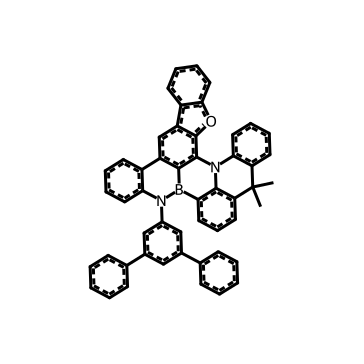 CC1(C)c2ccccc2N2c3c(cccc31)B1c3c(cc4c(oc5ccccc54)c32)-c2ccccc2N1c1cc(-c2ccccc2)cc(-c2ccccc2)c1